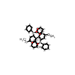 COc1cc(P(c2ccccc2)c2ccccc2)c(-c2c(P(c3ccccc3)c3ccccc3)cc(OC)nc2OC)c(OC)n1